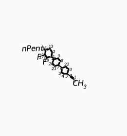 CC#Cc1ccc(-c2ccc(-c3ccc(CCCCC)c(F)c3F)cc2)cc1